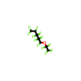 FC(F)C(F)C(F)(F)C(F)(F)C(F)OC(F)(F)C(F)F